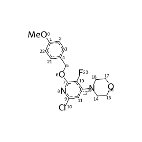 COc1ccc(COc2nc(Cl)cc(N3CCOCC3)c2F)cc1